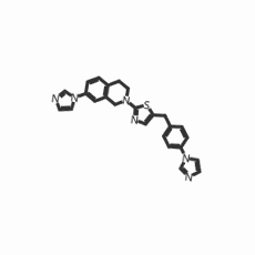 c1cn(-c2ccc(Cc3cnc(N4CCc5ccc(-n6ccnc6)cc5C4)s3)cc2)cn1